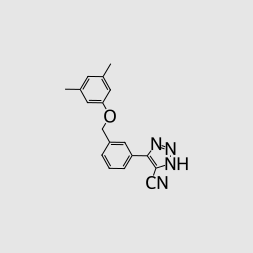 Cc1cc(C)cc(OCc2cccc(-c3nn[nH]c3C#N)c2)c1